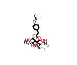 CCOc1ccc(CCC[C@@](C(=O)O)(C(C)C)[C@](O)(C(=O)O)C(C)C)cc1